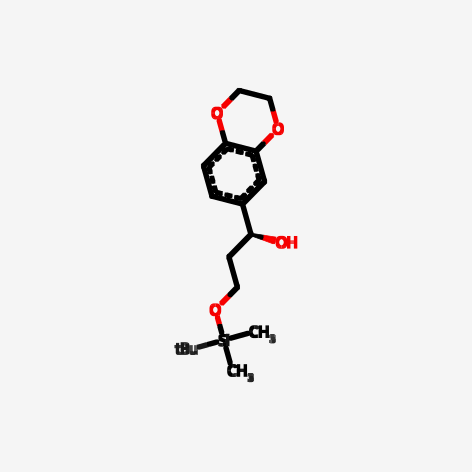 CC(C)(C)[Si](C)(C)OCC[C@H](O)c1ccc2c(c1)OCCO2